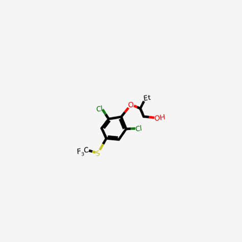 CCC(CO)Oc1c(Cl)cc(SC(F)(F)F)cc1Cl